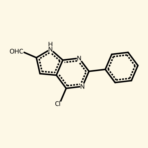 O=Cc1cc2c(Cl)nc(-c3ccccc3)nc2[nH]1